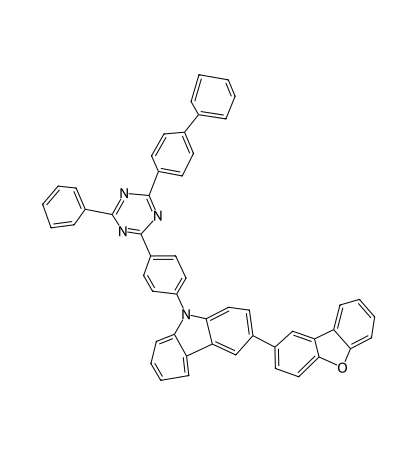 c1ccc(-c2ccc(-c3nc(-c4ccccc4)nc(-c4ccc(-n5c6ccccc6c6cc(-c7ccc8oc9ccccc9c8c7)ccc65)cc4)n3)cc2)cc1